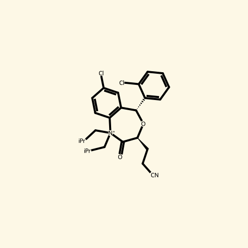 CC(C)C[N+]1(CC(C)C)C(=O)[C@H](CCC#N)O[C@@H](c2ccccc2Cl)c2cc(Cl)ccc21